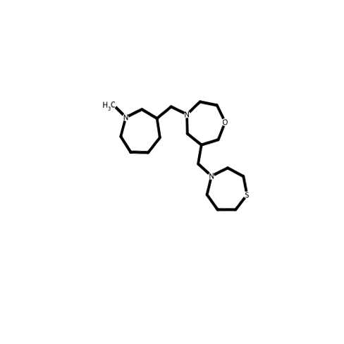 CN1CCCCC(CN2CCOCC(CN3CCCSCC3)C2)C1